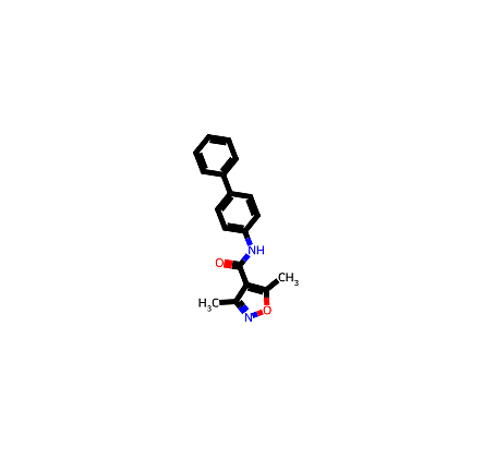 Cc1noc(C)c1C(=O)Nc1ccc(-c2ccccc2)cc1